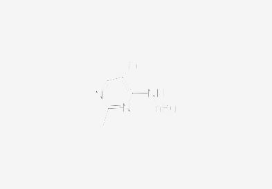 CCCCNc1nc(C)ncc1CC